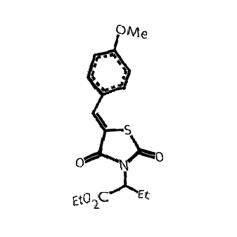 CCOC(=O)C(CC)N1C(=O)S/C(=C\c2ccc(OC)cc2)C1=O